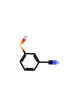 N#Cc1cccc(P=O)c1